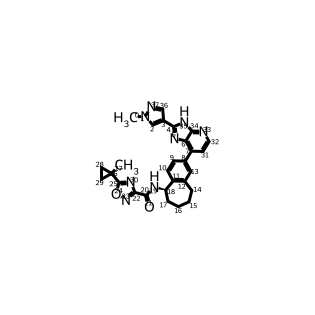 Cn1cc(-c2nc3c(-c4ccc5c(c4)CCCC[C@H]5NC(=O)c4noc(C5(C)CC5)n4)ccnc3[nH]2)cn1